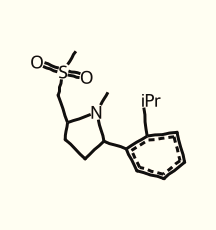 CC(C)c1ccccc1C1CCC(CS(C)(=O)=O)N1C